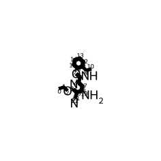 CCOc1nc(C(=O)NC(C)c2ccccc2)cc(N)c1C#N